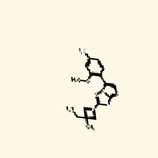 COc1cc(C)ccc1-c1cnc2sc(N3CC(C)(CN)C3)nn12